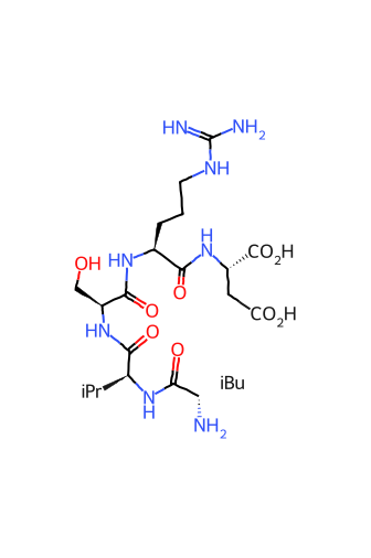 CC[C@H](C)[C@H](N)C(=O)N[C@H](C(=O)N[C@@H](CO)C(=O)N[C@@H](CCCNC(=N)N)C(=O)N[C@@H](CC(=O)O)C(=O)O)C(C)C